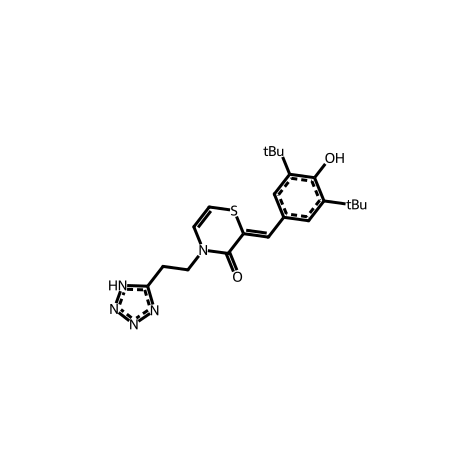 CC(C)(C)c1cc(C=C2SC=CN(CCc3nnn[nH]3)C2=O)cc(C(C)(C)C)c1O